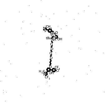 Cc1ncsc1-c1ccc(CNC(=O)[C@@H]2C[C@@H](O)CN2C(=O)[C@@H](NCCOCCOCCOCCOCCCCCOc2ccc(-c3cc(C(F)(F)F)nn3C)c(O)c2-c2ccc(Cl)c(C(F)(F)F)c2)C(C)(C)C)cc1